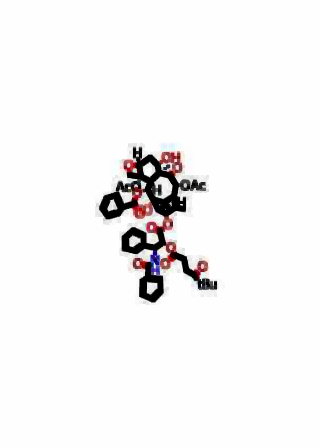 CC(=O)O[C@H]1C(=O)[C@]2(C)[C@@H](O)C[C@H]3OC[C@]3(OC(C)=O)[C@@H]2[C@@H](OC(=O)c2ccccc2)[C@]2(O)C[C@H](OC(=O)[C@H](OC(=O)CCC(=O)C(C)(C)C)[C@@H](NC(=O)c3ccccc3)c3ccccc3)C(C)[C@@H]1C2(C)C